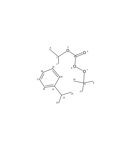 CC(C)OC(=O)OOC(C)(C)C.CC(C)c1ccccc1